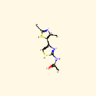 CC(=O)Nc1nc(-c2sc(C)nc2C)cs1